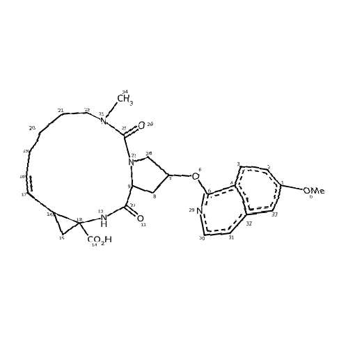 COc1ccc2c(OC3CC4C(=O)NC5(C(=O)O)CC5C=CCCCCN(C)C(=O)N4C3)nccc2c1